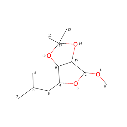 COC1OC(CC(C)C)C2OC(C)(C)OC12